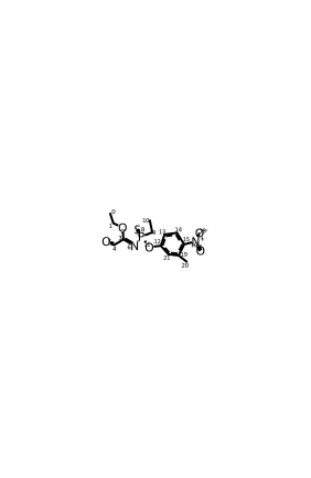 CCOC(C=O)=NP(=S)(CC)Oc1ccc([N+](=O)[O-])c(C)c1